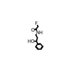 O=C(CF)NCCC(O)c1ccccc1